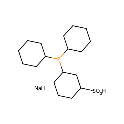 O=S(=O)(O)C1CCCC(P(C2CCCCC2)C2CCCCC2)C1.[NaH]